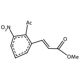 COC(=O)C=Cc1cccc([N+](=O)[O-])c1C(C)=O